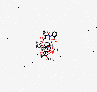 CCN1C[C@]2(COC(=O)c3ccccc3NC(=O)C(C)CC(=O)OC)CC[C@H](OC)[C@]34C1[C@](O)([C@@H](OC)[C@H]23)[C@@]1(O)C[C@H](OC)[C@H]2C[C@@H]4[C@@H]1[C@H]2OC